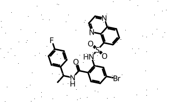 CC(NC(=O)c1ccc(Br)cc1NS(=O)(=O)c1cccc2nccnc12)c1ccc(F)cc1